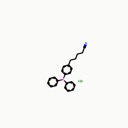 Br.N#CCCCCc1ccc(P(c2ccccc2)c2ccccc2)cc1